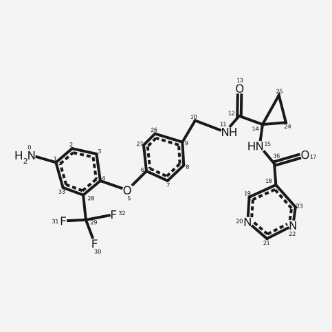 Nc1ccc(Oc2ccc(CNC(=O)C3(NC(=O)c4cncnc4)CC3)cc2)c(C(F)(F)F)c1